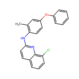 Cc1cc(Oc2ccccc2)ccc1Nc1ccc2cccc(Cl)c2n1